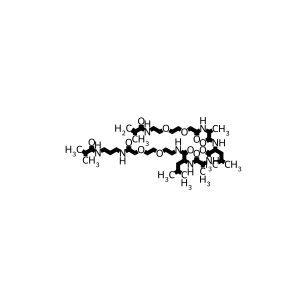 C=C(C)C(=O)NCCOCCOCC(=O)NC(C)C(=O)NC(CC(C)C)C(=O)NC(C)C(=O)NC(CC(C)C)C(=O)NCCOCCOCC(=O)NCCCNC(=O)C(C)C